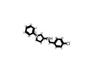 Clc1ccc(CNC2CCN(c3ccccc3)C2)cc1